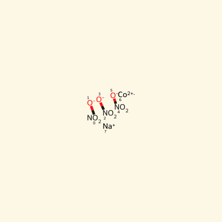 O=[N+]([O-])[O-].O=[N+]([O-])[O-].O=[N+]([O-])[O-].[Co+2].[Na+]